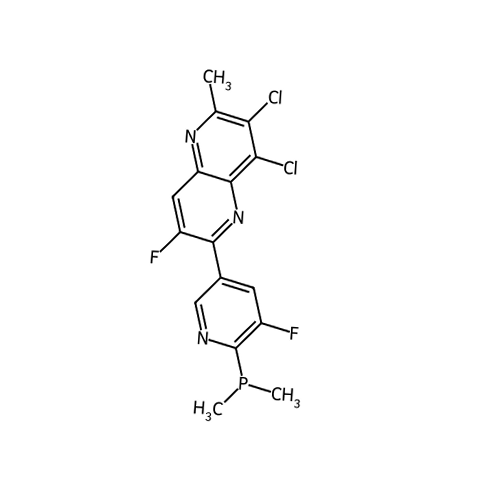 Cc1nc2cc(F)c(-c3cnc(P(C)C)c(F)c3)nc2c(Cl)c1Cl